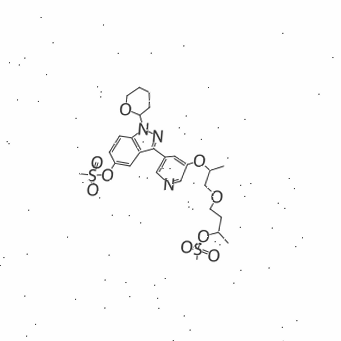 CC(COCCC(C)OS(C)(=O)=O)Oc1cncc(-c2nn(C3CCCCO3)c3ccc(OS(C)(=O)=O)cc23)c1